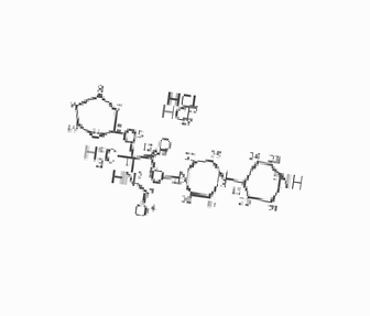 CC(NC=O)(OC1CCCCC1)C(=O)ON1CCN(C2CCNCC2)CC1.Cl.Cl